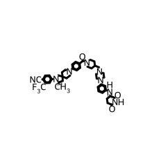 C[C@H]1CC2(CCN(c3ccc(C(=O)N4CCC(CN5CCN(c6cccc(N[C@H]7CCC(=O)NC7=O)c6)CC5)CC4)cc3)CC2)CN1c1ccc(C#N)c(C(F)(F)F)c1